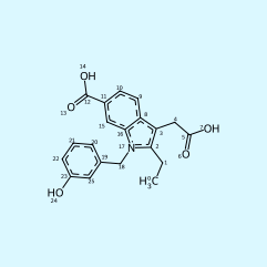 CCc1c(CC(=O)O)c2ccc(C(=O)O)cc2n1Cc1cccc(O)c1